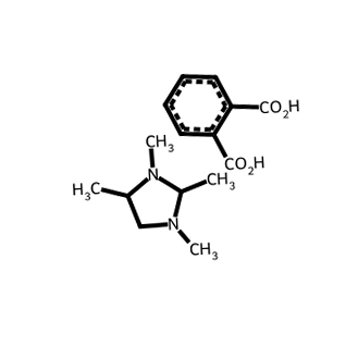 CC1CN(C)C(C)N1C.O=C(O)c1ccccc1C(=O)O